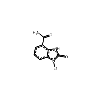 CCn1c(=O)[nH]c2c(C(N)=O)cccc21